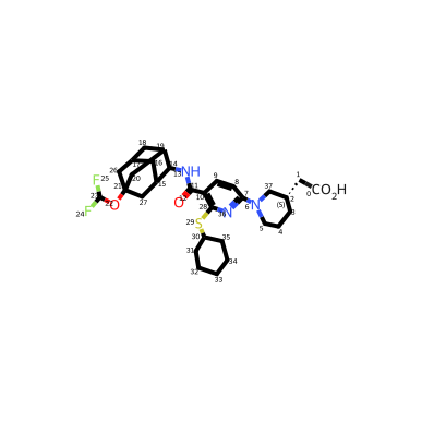 O=C(O)C[C@@H]1CCCN(c2ccc(C(=O)NC3C4CC5CC3CC(OC(F)F)(C5)C4)c(SC3CCCCC3)n2)C1